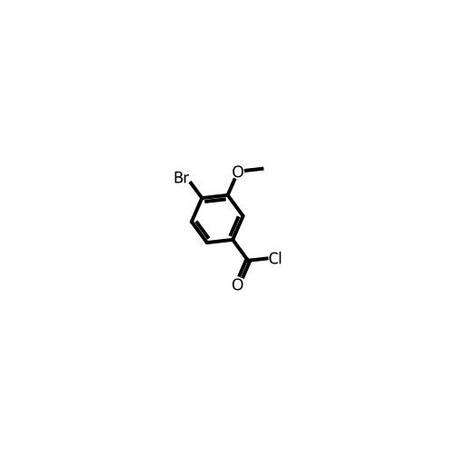 COc1cc(C(=O)Cl)ccc1Br